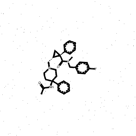 CC(=O)NC1(c2ccccc2)CCN(C[C@@H]2C[C@@]2(C(=O)N(C)Cc2ccc(F)cc2)c2ccccc2)CC1